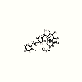 CCC(C(=N)C(=O)Cc1ccc(OCc2ccccc2C)cc1)c1ccc(CC(C)C(=O)O)[nH]1